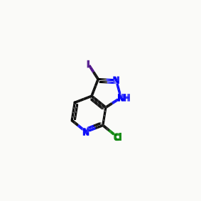 Clc1nccc2c(I)n[nH]c12